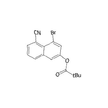 CC(C)(C)C(=O)Oc1cc(Br)c2c(C#N)cccc2c1